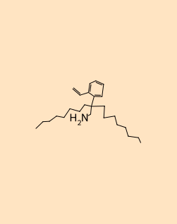 C=Cc1ccccc1C(CN)(CCCCCCCC)CCCCCCCC